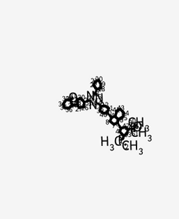 CP(C)c1cc(-c2ccc(-c3ccc(-c4nc(-c5ccccc5)nc(-c5ccc6c(c5)oc5ccccc56)n4)cc3)c3ccccc23)cc(P(C)(C)=O)c1